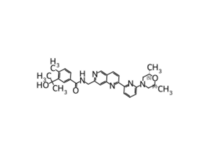 Cc1ccc(C(=O)NCc2cc3nc(-c4cccc(N5C[C@@H](C)O[C@@H](C)C5)n4)ccc3cn2)cc1C(C)(C)O